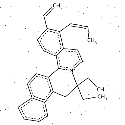 C=Cc1ccc2c3[n+](ccc2c1/C=C\C)C(CC)(CC)Cc1c-3ccc2ccccc12